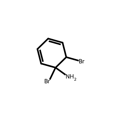 NC1(Br)C=CC=CC1Br